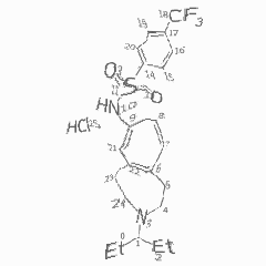 CCC(CC)N1CCc2ccc(NS(=O)(=O)c3ccc(C(F)(F)F)cc3)cc2CC1.Cl